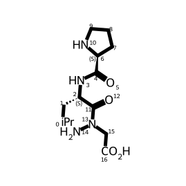 CC(C)C[C@H](NC(=O)[C@@H]1CCCN1)C(=O)N(N)CC(=O)O